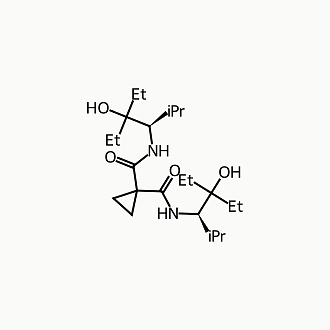 CCC(O)(CC)[C@H](NC(=O)C1(C(=O)N[C@H](C(C)C)C(O)(CC)CC)CC1)C(C)C